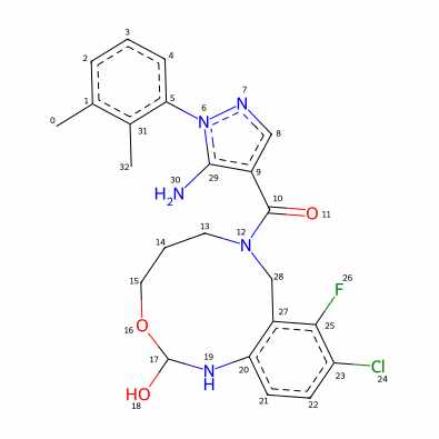 Cc1cccc(-n2ncc(C(=O)N3CCCOC(O)Nc4ccc(Cl)c(F)c4C3)c2N)c1C